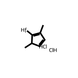 CC1=[C]([Hf])C(C)C=C1.Cl.Cl